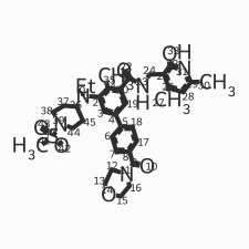 CCN(c1cc(-c2ccc(C(=O)N3CCOCC3)cc2)cc(C(=O)NCc2c(C)cc(C)[nH]c2=O)c1C)C1CCN(S(C)(=O)=O)CC1